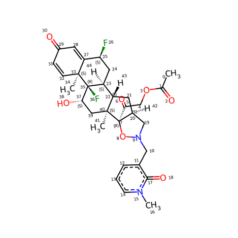 CC(=O)OCC(=O)[C@@]12ON(Cc3cccn(C)c3=O)C[C@@H]1C[C@H]1[C@@H]3C[C@H](F)C4=CC(=O)C=C[C@]4(C)[C@@]3(F)[C@@H](O)C[C@@]12C